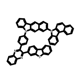 c1ccc2c(c1)ccc1c2c2ccccc2n1-c1ccc2cc3c4ccccc4n(-c4ccc(-c5nc6ccccc6nc5-c5ccc6c(c5)sc5ccccc56)cc4)c3cc2c1